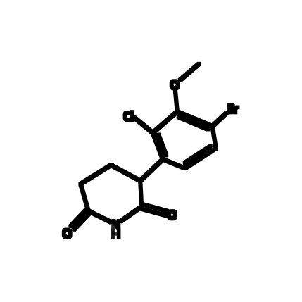 COc1c(Br)ccc(C2CCC(=O)NC2=O)c1Cl